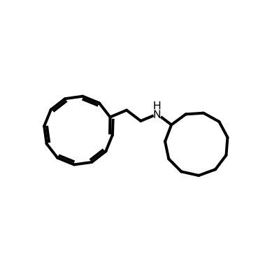 C1=C\C=C/C=C\C(CCNC2CCCCCCCCCC2)=C/C=C\C=C/1